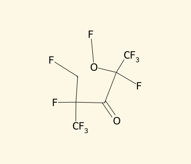 O=C(C(F)(CF)C(F)(F)F)C(F)(OF)C(F)(F)F